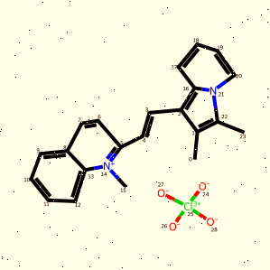 Cc1c(/C=C/c2ccc3ccccc3[n+]2C)c2ccccn2c1C.[O-][Cl+3]([O-])([O-])[O-]